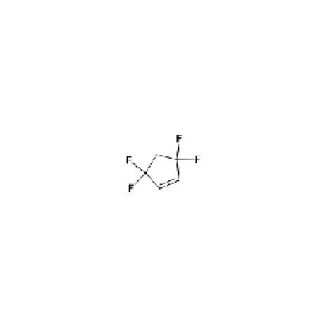 FC1(F)C=CC(F)(F)C1